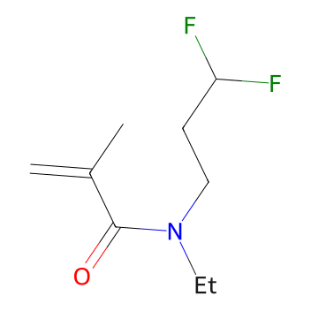 C=C(C)C(=O)N(CC)CCC(F)F